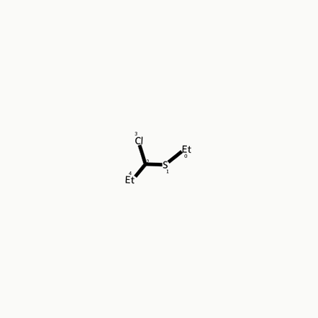 CCSC(Cl)CC